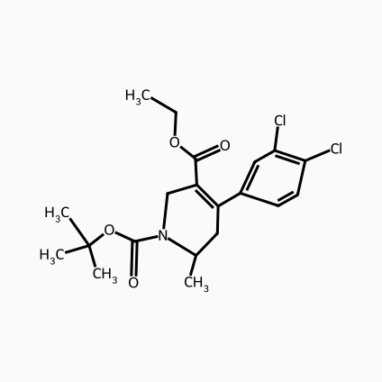 CCOC(=O)C1=C(c2ccc(Cl)c(Cl)c2)CC(C)N(C(=O)OC(C)(C)C)C1